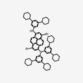 CC(C)c1cc(Nc2cc(C3CCCCC3)cc(C3CCCCC3)c2)c2ccc3c(C(C)C)cc(N(c4cc(C5CCCCC5)cc(C5CCCCC5)c4)c4cc(C5CCCCC5)cc(C5CCCCC5)c4)c4ccc1c2c34